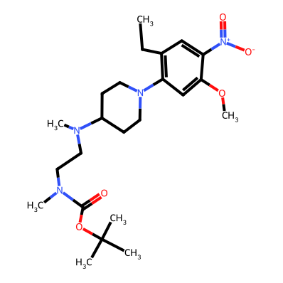 CCc1cc([N+](=O)[O-])c(OC)cc1N1CCC(N(C)CCN(C)C(=O)OC(C)(C)C)CC1